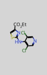 CCOC(=O)c1csc(Nc2c(Cl)cncc2Cl)n1